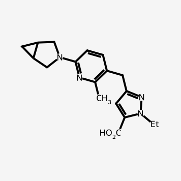 CCn1nc(Cc2ccc(N3CC4CC4C3)nc2C)cc1C(=O)O